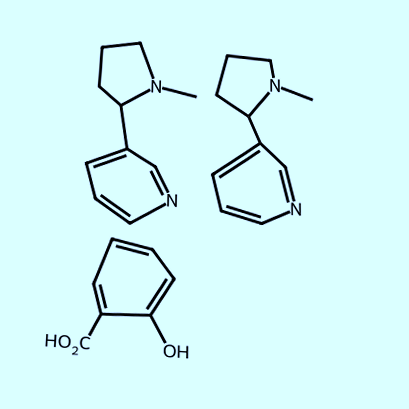 CN1CCCC1c1cccnc1.CN1CCCC1c1cccnc1.O=C(O)c1ccccc1O